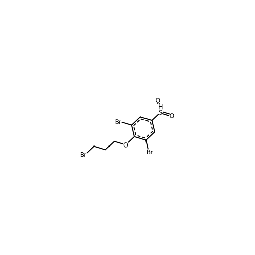 O=[SH](=O)c1cc(Br)c(OCCCBr)c(Br)c1